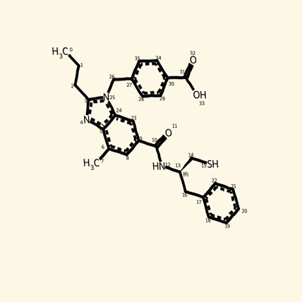 CCCc1nc2c(C)cc(C(=O)N[C@@H](CS)Cc3ccccc3)cc2n1Cc1ccc(C(=O)O)cc1